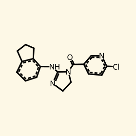 O=C(c1ccc(Cl)nc1)N1CCN=C1Nc1cccc2c1CCC2